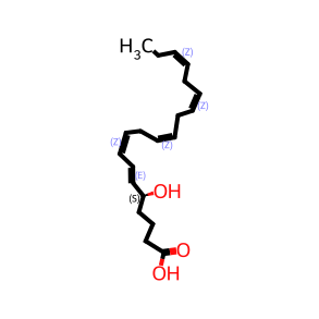 CC/C=C\C/C=C\C/C=C\C/C=C\C=C\[C@@H](O)CCCC(=O)O